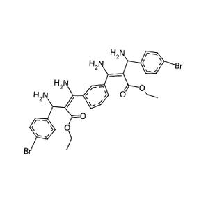 CCOC(=O)/C(=C(/N)c1cccc(/C(N)=C(\C(=O)OCC)C(N)c2ccc(Br)cc2)c1)C(N)c1ccc(Br)cc1